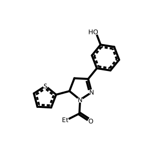 CCC(=O)N1N=C(c2cccc(O)c2)CC1c1cccs1